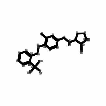 Cc1cc(CNC2CCNC2=O)ccc1OCc1ccccc1C(F)(F)F